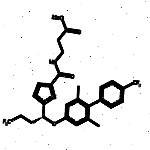 COC(=O)CCNC(=O)c1ccc([C@@H](CCC(F)(F)F)Oc2cc(C)c(-c3ccc(C(F)(F)F)cc3)c(C)c2)s1